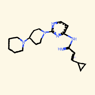 N=C(/C=C/C1CC1)Nc1ccnc(N2CCC(N3CCCCC3)CC2)n1